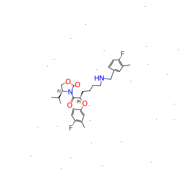 Cc1cc(CNCCCC[C@@H](Oc2ccc(F)c(C)c2)C(=O)N2C(=O)OC[C@@H]2C(C)C)ccc1F